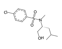 CC(C)C[C@H](CO)N(C)S(=O)(=O)c1ccc(Cl)cc1